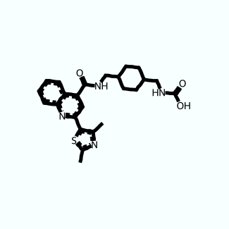 Cc1nc(C)c(-c2cc(C(=O)NCC3CCC(CNC(=O)O)CC3)c3ccccc3n2)s1